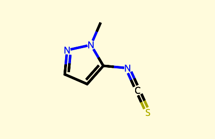 Cn1nccc1N=C=S